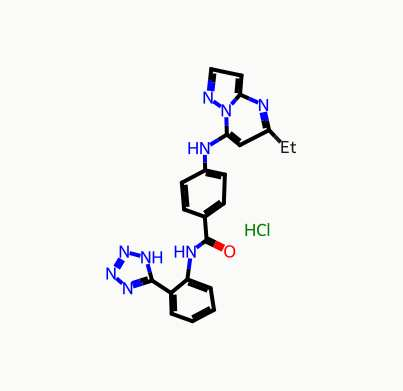 CCc1cc(Nc2ccc(C(=O)Nc3ccccc3-c3nnn[nH]3)cc2)n2nccc2n1.Cl